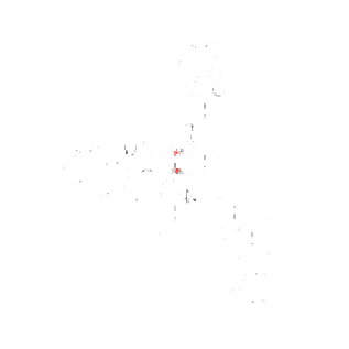 CC1(C)c2ccccc2-c2cccc(-c3ccc(N(c4ccc(-c5ccc6c(c5)oc5ccccc56)cc4)c4ccccc4-c4cccc5oc6c7ccccc7ccc6c45)cc3)c21